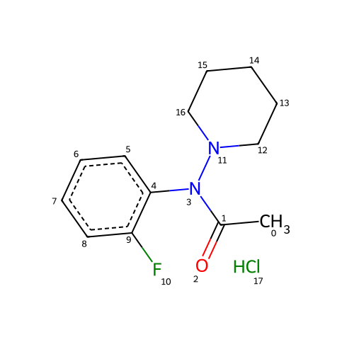 CC(=O)N(c1ccccc1F)N1CCCCC1.Cl